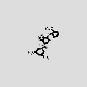 COc1ccccc1Sc1ccc(S(=O)(=O)N2CC(C)CC(C)C2)c2nonc12